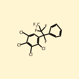 FC(F)(F)C(F)(F)C(F)(c1ccccc1)c1cc(Cl)c(Cl)c(Cl)c1Cl